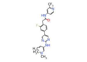 C=C/C(=C\N(C)C)Nc1ncc(-c2ccc(CC(=O)Nc3ccnc(C(F)(F)F)c3)c(F)c2)cn1